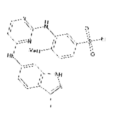 CCS(=O)(=O)c1ccc(OC)c(Nc2nccc(Nc3ccc4c(C)n[nH]c4c3)n2)c1